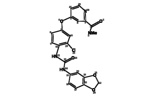 CNC(=O)c1cc(Oc2ccc(NC(=O)Nc3ccc4c(c3)OCO4)c(Cl)c2)ccn1